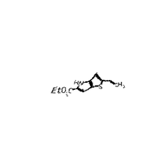 C=Cc1cc2[nH]c(C(=O)OCC)cc2s1